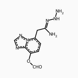 NN/N=C(\N)Cc1ccc(OC=O)c2ncnn12